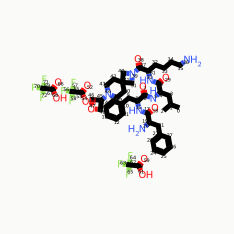 CC(C)CC(NC(=O)C(Cc1ccccc1)NC(=O)C(N)Cc1ccccc1)C(=O)NC(CCCCN)C(=O)N1CC2(CCN(C3COC3)CC2)C1.O=C(O)C(F)(F)F.O=C(O)C(F)(F)F.O=C(O)C(F)(F)F